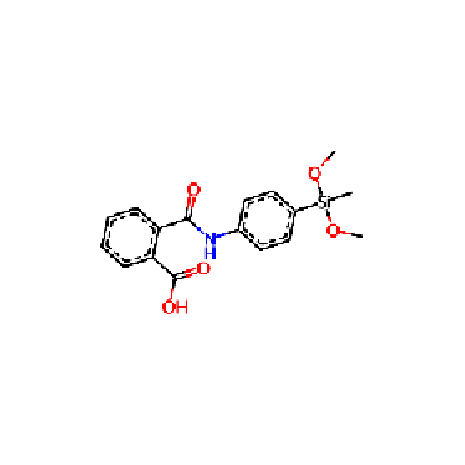 CO[Si](C)(OC)c1ccc(NC(=O)c2ccccc2C(=O)O)cc1